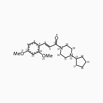 COc1ccc(C=CC(=O)N2CCN(C3CCCC3)CC2)c(OC)c1